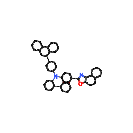 c1ccc(-c2ccccc2N(c2ccc(-c3nc4c(ccc5ccccc54)o3)cc2)c2ccc(-c3cc4ccccc4c4ccccc34)cc2)cc1